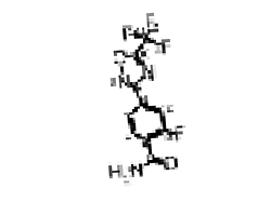 NC(=O)c1ccc(-c2noc(C(F)(F)F)n2)cc1F